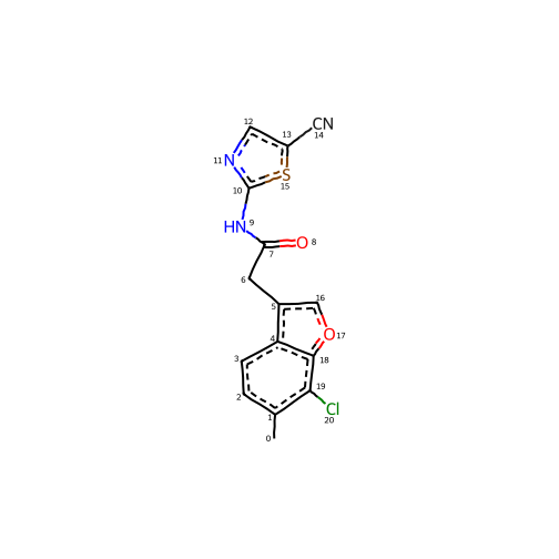 Cc1ccc2c(CC(=O)Nc3ncc(C#N)s3)coc2c1Cl